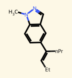 CC/C=C(\CCC)c1ccc2c(cnn2C)c1